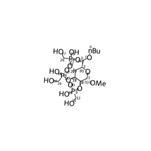 CCCCOC[C@H]1O[C@H](OC)[C@@H](OP(=O)(O)CO)[C@@H](OP(=O)(O)CO)[C@@H]1OP(=O)(O)CO